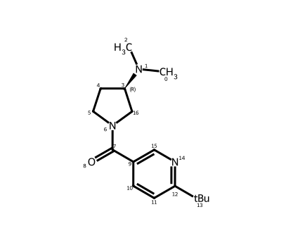 CN(C)[C@@H]1CCN(C(=O)c2ccc(C(C)(C)C)nc2)C1